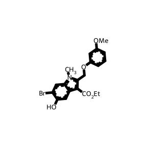 CCOC(=O)c1c(COc2cccc(OC)c2)n(C)c2cc(Br)c(O)cc12